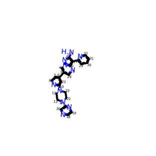 Nc1nn2cc(-c3ccnc(N4CCN(c5cnccn5)CC4)c3)cnc2c1-c1ccccn1